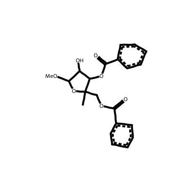 COC1OC(C)(COC(=O)c2ccccc2)C(OC(=O)c2ccccc2)C1O